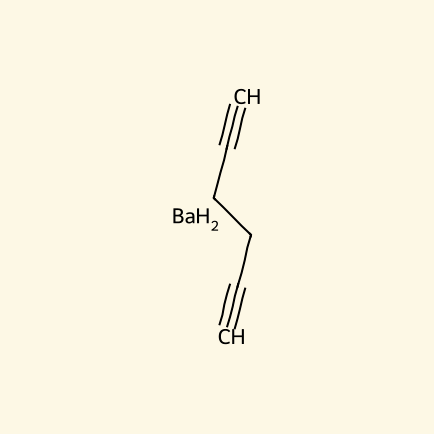 C#CCCC#C.[BaH2]